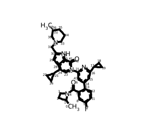 CC1CCN1C(=O)c1cc(F)ccc1-c1cc(C2CC2)nc(-n2cc(C3CC3)c3cc(CN4CCC[C@H](C)C4)[nH]c3c2=O)c1